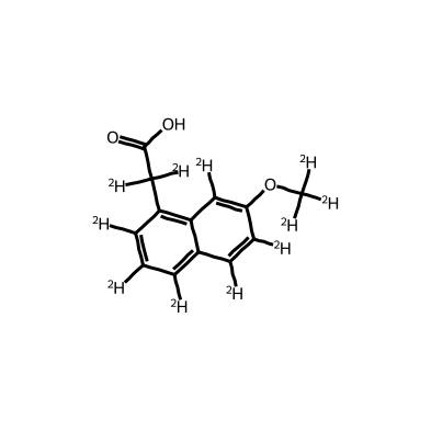 [2H]c1c([2H])c(C([2H])([2H])C(=O)O)c2c([2H])c(OC([2H])([2H])[2H])c([2H])c([2H])c2c1[2H]